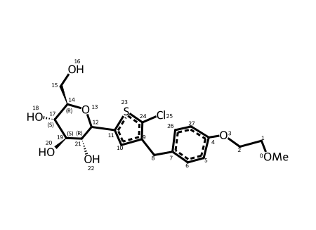 COCCOc1ccc(Cc2cc(C3O[C@H](CO)[C@@H](O)[C@H](O)[C@H]3O)sc2Cl)cc1